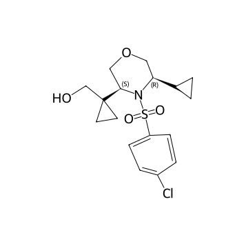 O=S(=O)(c1ccc(Cl)cc1)N1[C@H](C2CC2)COC[C@@H]1C1(CO)CC1